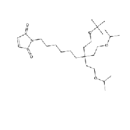 CC(C)OCCC(CCCCCCN1C(=O)C=CC1=O)(CCOC(C)C)CCOC(C)(C)C